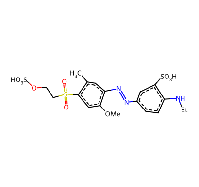 CCNc1ccc(N=Nc2cc(C)c(S(=O)(=O)CCOS(=O)(=O)O)cc2OC)cc1S(=O)(=O)O